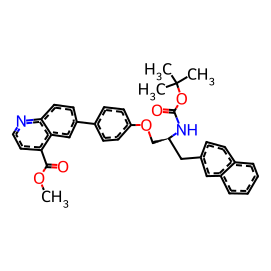 COC(=O)c1ccnc2ccc(-c3ccc(OC[C@H](Cc4ccc5ccccc5c4)NC(=O)OC(C)(C)C)cc3)cc12